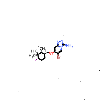 C[C@H]1[C@@H](COc2cc3nnc(N)n3cc2Br)CC[C@@H](I)C1(C)C